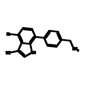 CCc1ccc(-c2ccc(CN)cc2)c2[nH]cc(C#N)c12